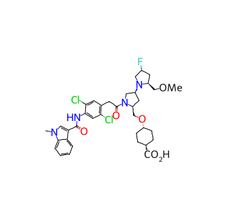 COC[C@@H]1C[C@H](F)CN1[C@H]1C[C@@H](CO[C@H]2CC[C@H](C(=O)O)CC2)N(C(=O)Cc2cc(Cl)c(NC(=O)c3cn(C)c4ccccc34)cc2Cl)C1